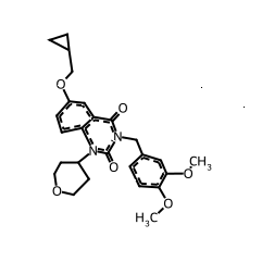 COc1ccc(Cn2c(=O)c3cc(OCC4CC4)ccc3n(C3CCOCC3)c2=O)cc1OC